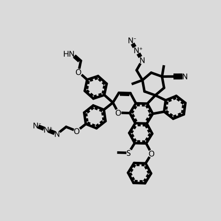 CSc1cc2c3c(c4c(c2cc1Oc1ccccc1)-c1ccccc1C41CC(C)(C#N)CC(C)(CN=[N+]=[N-])C1)C=CC(c1ccc(OC=N)cc1)(c1ccc(OCN=[N+]=[N-])cc1)O3